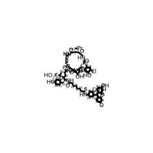 CC(C)C[C@@H]1CC(=O)CNC(=O)[C@H](Cc2ccc(O)c(Cl)c2)CC(=O)[C@@H]2C[C@@H](O)CN2C(=O)[C@@H](NC(=O)[C@@H](CCC(=O)O)CC(=O)[C@H](Cc2ccc(O)cc2)NC(=O)CCCCCCC(=S)Nc2ccc(-c3c4ccc(=O)cc-4oc4cc(O)ccc34)c(C(=O)O)c2)CSSC[C@@H](C)NC1=O